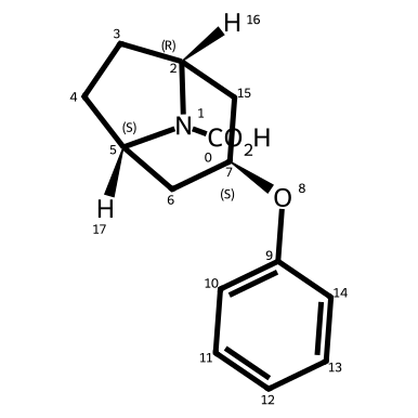 O=C(O)N1[C@@H]2CC[C@H]1C[C@H](Oc1ccccc1)C2